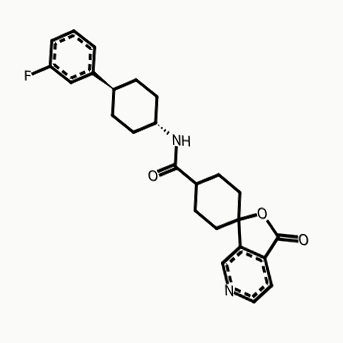 O=C1OC2(CCC(C(=O)N[C@H]3CC[C@H](c4cccc(F)c4)CC3)CC2)c2cnccc21